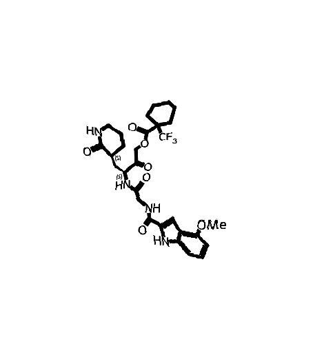 COc1cccc2[nH]c(C(=O)NCC(=O)N[C@@H](C[C@@H]3CCCNC3=O)C(=O)COC(=O)C3(C(F)(F)F)CCCCC3)cc12